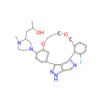 CC(O)CC1CN(c2ccc3cc2OCCCOCc2cccc(F)c2-c2cc4c-3n[nH]c4cn2)CCN1C